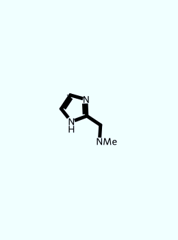 CNCc1n[c]c[nH]1